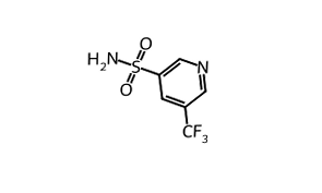 NS(=O)(=O)c1cncc(C(F)(F)F)c1